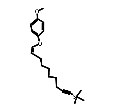 COc1ccc(O/C=C\CCCCCCC#C[Si](C)(C)C)cc1